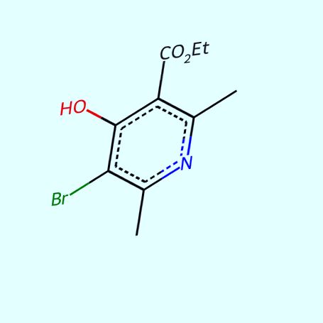 CCOC(=O)c1c(C)nc(C)c(Br)c1O